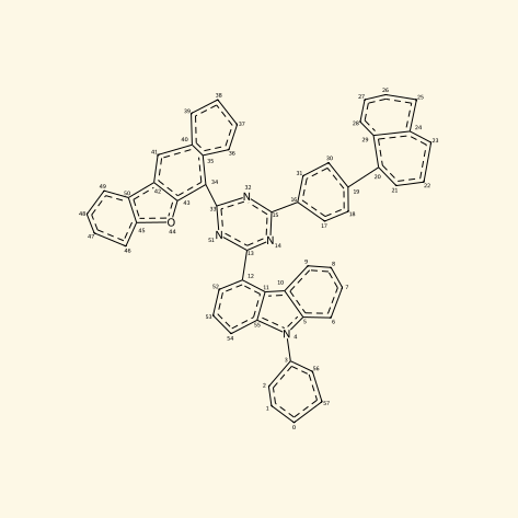 c1ccc(-n2c3ccccc3c3c(-c4nc(-c5ccc(-c6cccc7ccccc67)cc5)nc(-c5c6ccccc6cc6c5oc5ccccc56)n4)cccc32)cc1